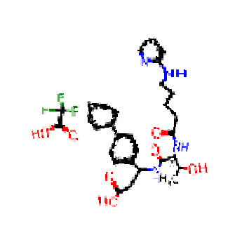 CC(O)[C@@H](NC(=O)CCCCNc1ccccn1)C(=O)NC(CC(=O)O)c1ccc(-c2ccccc2)cc1.O=C(O)C(F)(F)F